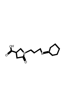 O=C(O)C1CC(=O)N(CCCN=C2CCCCC2)C1